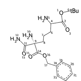 CC(C)(C)OC(=O)C(N)CCC[C@](N)(C(N)=O)C(=O)OCc1ccccc1